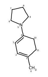 CC1=CC=C(N2CCCC2)CC1